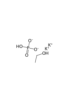 CCO.O=P([O-])([O-])O.[K+].[K+]